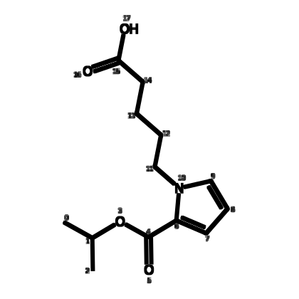 CC(C)OC(=O)c1cccn1CCCCC(=O)O